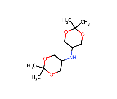 CC1(C)OCC(NC2COC(C)(C)OC2)CO1